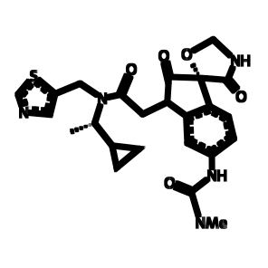 CNC(=O)Nc1ccc2c(c1)C(CC(=O)N(Cc1cncs1)[C@@H](C)C1CC1)C(=O)[C@]21OCNC1=O